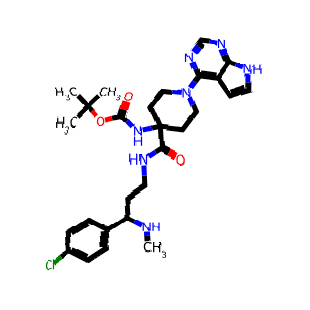 CNC(CCNC(=O)C1(NC(=O)OC(C)(C)C)CCN(c2ncnc3[nH]ccc23)CC1)c1ccc(Cl)cc1